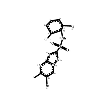 Cc1nc2nc(S(=O)(=O)Nc3c(Cl)cccc3Cl)nn2cc1Br